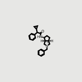 O=C(N[C@H]1CC[C@@H]2CN(Cc3ccccc3)C[C@@H]21)C(c1ccccc1)C1CC1